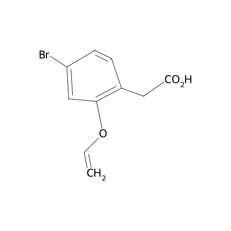 C=COc1cc(Br)ccc1CC(=O)O